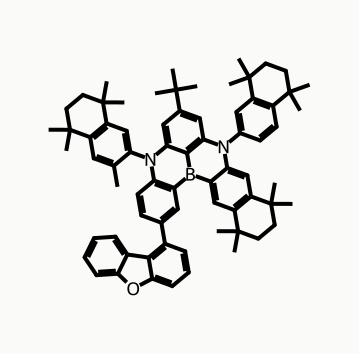 Cc1cc2c(cc1N1c3ccc(-c4cccc5oc6ccccc6c45)cc3B3c4cc5c(cc4N(c4ccc6c(c4)C(C)(C)CCC6(C)C)c4cc(C(C)(C)C)cc1c43)C(C)(C)CCC5(C)C)C(C)(C)CCC2(C)C